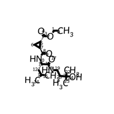 CCOC(=O)[C@H]1C[C@@H]1C(=O)N[C@@H](CC(C)C)C(=O)NCCC(C)(C)O